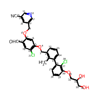 Cc1c(COc2cc(OCc3cncc(C#N)c3)c(C=O)cc2Cl)cccc1-c1cccc(OCC(O)CO)c1Cl